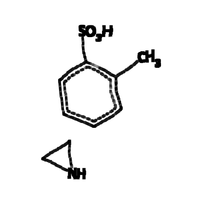 C1CN1.Cc1ccccc1S(=O)(=O)O